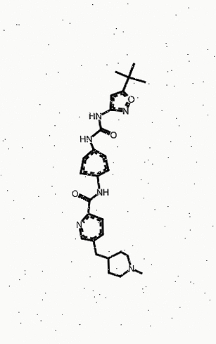 CN1CCC(Cc2ccc(C(=O)Nc3ccc(NC(=O)Nc4cc(C(C)(C)C)on4)cc3)nc2)CC1